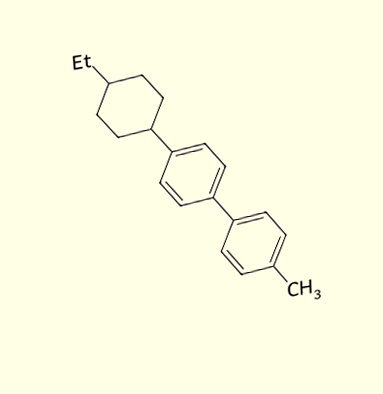 CCC1CCC(c2ccc(-c3ccc(C)cc3)cc2)CC1